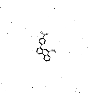 Nc1cc2c(-c3ccc([N+](=O)[O-])cc3)cccc2c2ccccc12